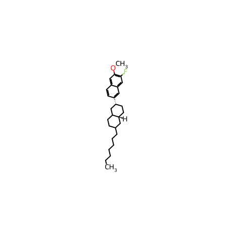 CCCCCCCC1CCC2C[C@H](c3ccc4cc(OC)c(F)cc4c3)CC[C@@H]2C1